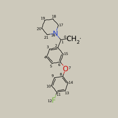 [CH2]C(c1cccc(Oc2ccc(F)cc2)c1)N1CCCCC1